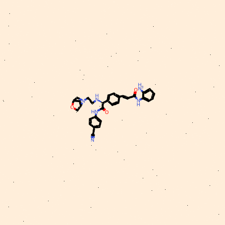 N#Cc1ccc(NC(=O)[C@@H](NCCN2CC3CC2CO3)c2ccc(/C=C/C(=O)Nc3ccccc3N)cc2)cc1